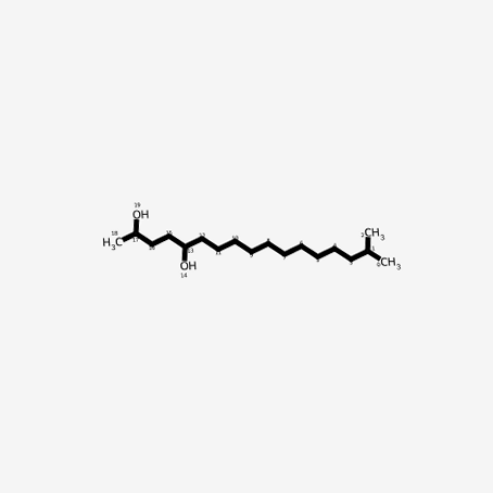 CC(C)CCCCCCCCCCC(O)[CH]CC(C)O